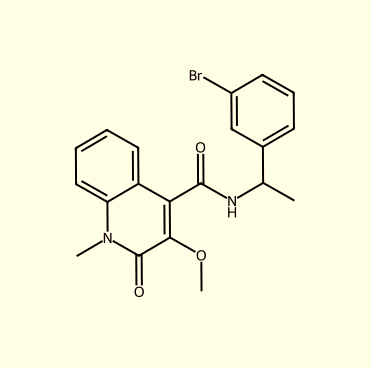 COc1c(C(=O)NC(C)c2cccc(Br)c2)c2ccccc2n(C)c1=O